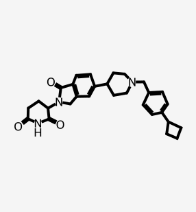 O=C1CCC(N2Cc3cc(C4CCN(Cc5ccc(C6CCC6)cc5)CC4)ccc3C2=O)C(=O)N1